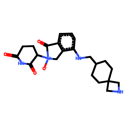 O=C1CCC([N+]2([O-])Cc3c(NCC4CCC5(CC4)CNC5)cccc3C2=O)C(=O)N1